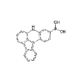 OB(O)c1ccc2c(c1)Nc1cccc3c4ccccc4n-2c13